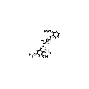 COc1ccccc1C/C=N/OC(=O)COc1cc(C)cc(C)c1C